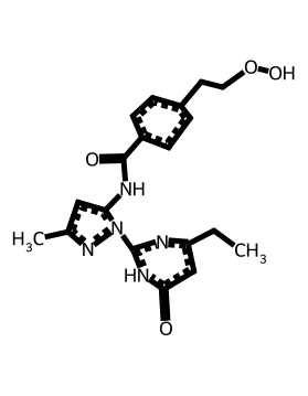 CCc1cc(=O)[nH]c(-n2nc(C)cc2NC(=O)c2ccc(CCOO)cc2)n1